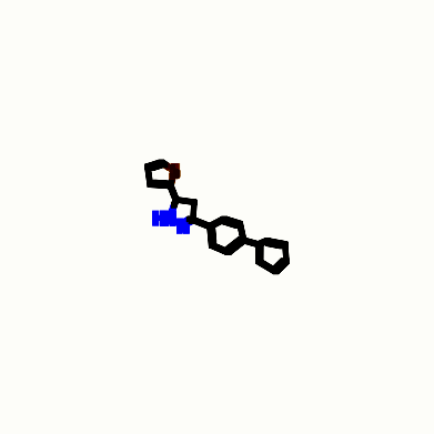 c1ccc(-c2ccc(C3=NNC(c4cccs4)C3)cc2)cc1